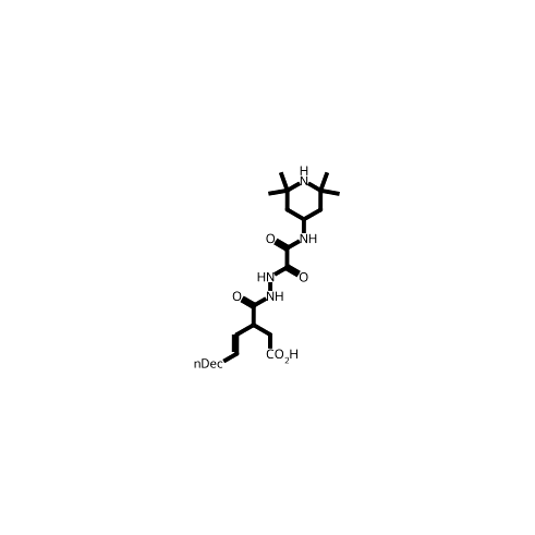 CCCCCCCCCCC=CC(CC(=O)O)C(=O)NNC(=O)C(=O)NC1CC(C)(C)NC(C)(C)C1